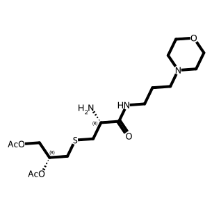 CC(=O)OC[C@H](CSC[C@H](N)C(=O)NCCCN1CCOCC1)OC(C)=O